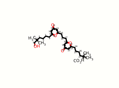 CC(C)(CO)CCCCc1cc(=O)cc(CCCc2cc(=O)cc(CCCCC(C)(C)C(=O)O)o2)o1